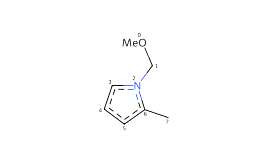 COCn1cccc1C